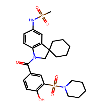 CS(=O)(=O)Nc1ccc2c(c1)C1(CCCCC1)CN2C(=O)c1ccc(O)c(S(=O)(=O)N2CCCCC2)c1